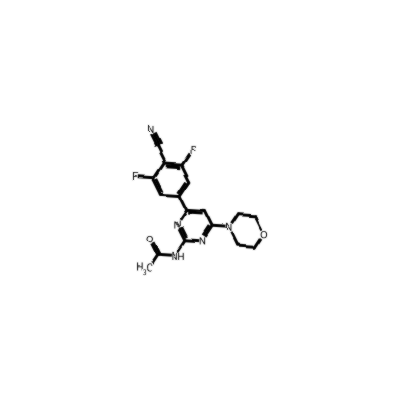 CC(=O)Nc1nc(-c2cc(F)c(C#N)c(F)c2)cc(N2CCOCC2)n1